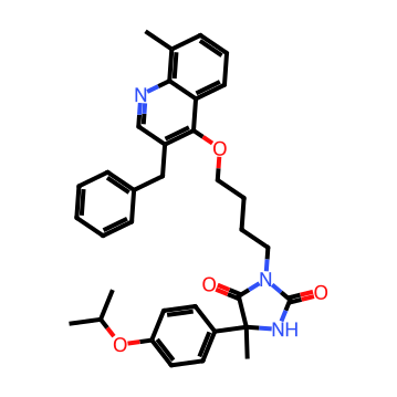 Cc1cccc2c(OCCCCN3C(=O)NC(C)(c4ccc(OC(C)C)cc4)C3=O)c(Cc3ccccc3)cnc12